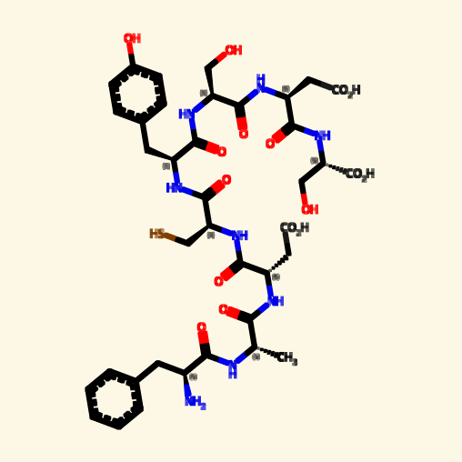 C[C@H](NC(=O)[C@@H](N)Cc1ccccc1)C(=O)N[C@@H](CC(=O)O)C(=O)N[C@@H](CS)C(=O)N[C@@H](Cc1ccc(O)cc1)C(=O)N[C@@H](CO)C(=O)N[C@@H](CC(=O)O)C(=O)N[C@@H](CO)C(=O)O